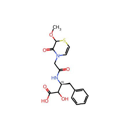 COC1SC=CN(CC(=O)N[C@@H](Cc2ccccc2)C(O)C(=O)O)C1=O